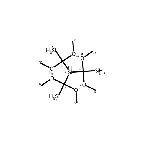 COC([SiH3])(OC)[SiH](C([SiH3])(OC)OC)C([SiH3])(OC)OC